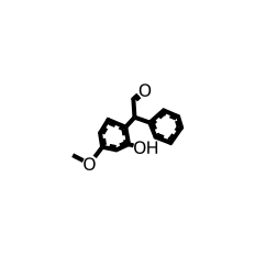 COc1ccc(C(C=O)c2ccccc2)c(O)c1